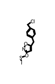 ClCc1ccc(Cc2cc(OSI)no2)cc1